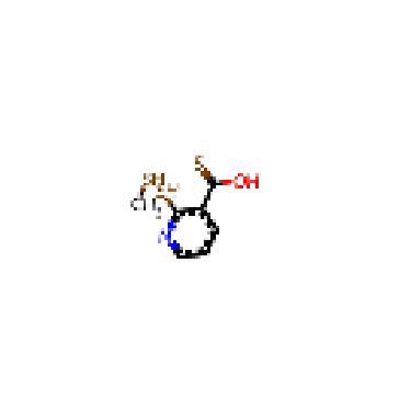 CS.OC(=S)c1cccnc1S